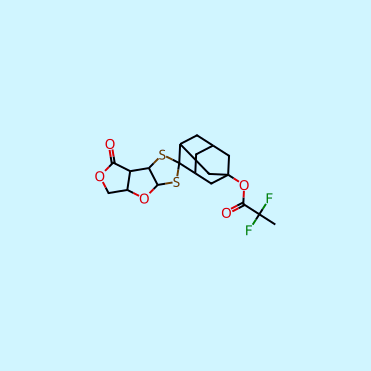 CC(F)(F)C(=O)OC12CC3CC(C1)C1(SC4OC5COC(=O)C5C4S1)C(C3)C2